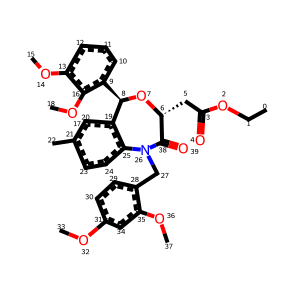 CCOC(=O)C[C@H]1O[C@H](c2cccc(OC)c2OC)c2cc(C)ccc2N(Cc2ccc(OC)cc2OC)C1=O